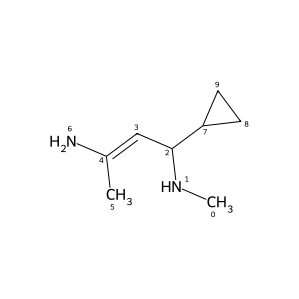 CNC(/C=C(\C)N)C1CC1